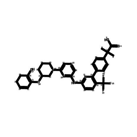 CC(C)(C(=O)O)c1ccc(-c2nc(Nc3cncc(N4CCCC(OC5=C(O)CCC=C5)C4)n3)ccc2C(F)(F)F)cc1